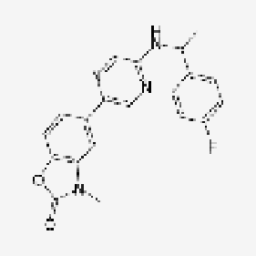 CC(Nc1cnc(-c2ccc3oc(=O)n(C)c3c2)cn1)c1ccc(F)cc1